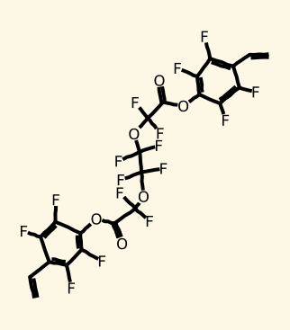 C=Cc1c(F)c(F)c(OC(=O)C(F)(F)OC(F)(F)C(F)(F)OC(F)(F)C(=O)Oc2c(F)c(F)c(C=C)c(F)c2F)c(F)c1F